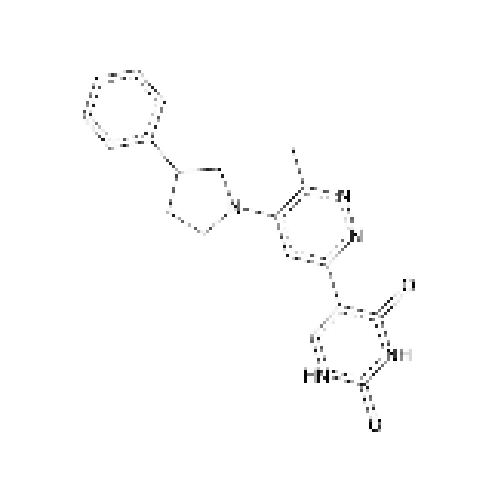 Cc1nnc(-c2c[nH]c(=O)[nH]c2=O)cc1N1CCC(c2ccccc2)C1